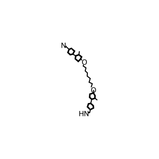 Cc1cc(OCCCCCCCCCOc2ccc(-c3ccc(C=N)cc3)c(C)c2)ccc1-c1ccc(C#N)cc1